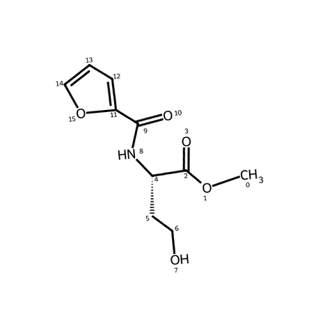 COC(=O)[C@H](CCO)NC(=O)c1ccco1